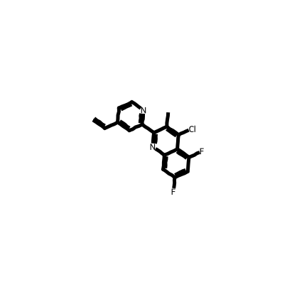 C=Cc1ccnc(-c2nc3cc(F)cc(F)c3c(Cl)c2C)c1